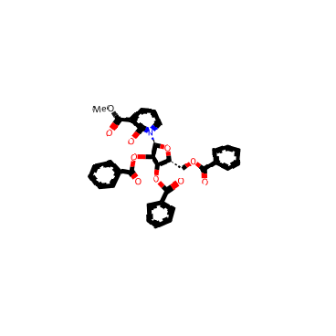 COC(=O)c1cccn([C@@H]2O[C@H](COC(=O)c3ccccc3)C(OC(=O)c3ccccc3)C2OC(=O)c2ccccc2)c1=O